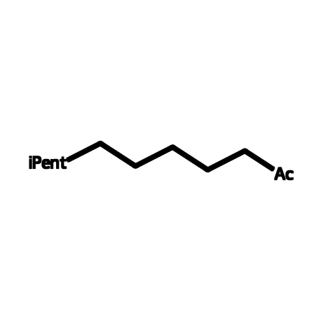 CCCC(C)CCCCCC(C)=O